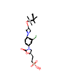 CC(C)(C)[Si](C)(C)OC1CN(c2ccc(N3C[C@@H](CCS(=O)(=O)O)OC3=O)cc2F)C1